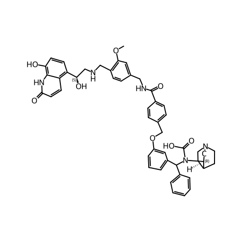 COc1cc(CNC(=O)c2ccc(COc3cccc(C(c4ccccc4)N(C(=O)O)[C@H]4CN5CCC4CC5)c3)cc2)ccc1CNC[C@@H](O)c1ccc(O)c2[nH]c(=O)ccc12